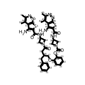 Cc1nnc2sc(C(=O)NC3CN(C(=O)CC(COc4ccccc4OC(=O)N4CC(NC(=O)c5sc6nnc(C)c(C)c6c5N)C4)Cc4ccccc4)C3)c(N)c2c1C